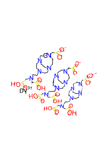 O=S([O-])CN1CCN2CCN(CCN(CCN(CS(=O)O)CS(=O)O)CC2)CC1.O=S([O-])CN1CCN2CCN(CCN(CCN(CS(=O)O)CS(=O)O)CC2)CC1.O=S([O-])CN1CCN2CCN(CCN(CCN(CS(=O)O)CS(=O)O)CC2)CC1.[Dy+3]